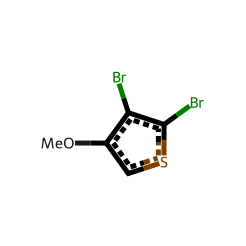 COc1csc(Br)c1Br